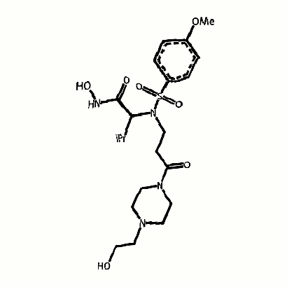 COc1ccc(S(=O)(=O)N(CCC(=O)N2CCN(CCO)CC2)C(C(=O)NO)C(C)C)cc1